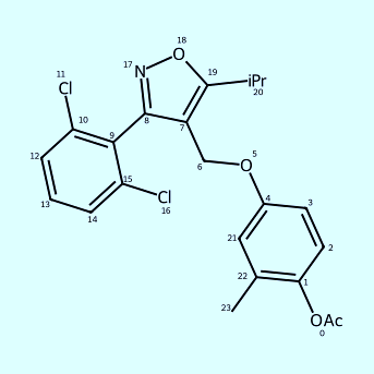 CC(=O)Oc1ccc(OCc2c(-c3c(Cl)cccc3Cl)noc2C(C)C)cc1C